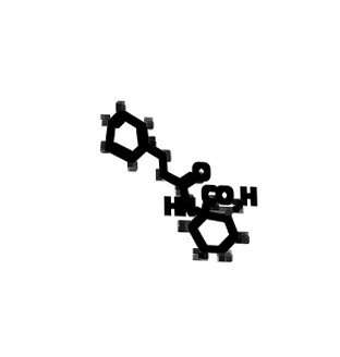 O=C(CCc1ccccc1)NC1(C(=O)O)CCCCC1